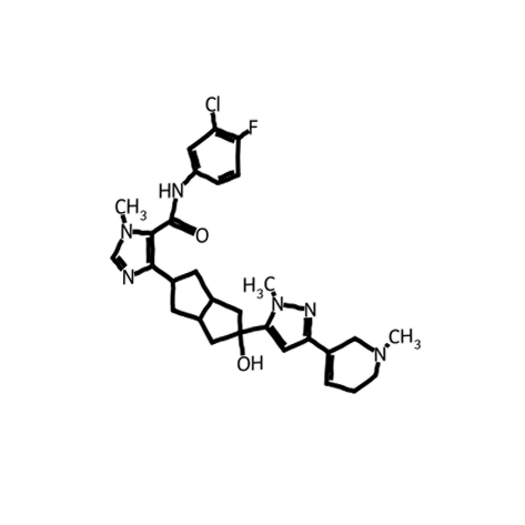 CN1CCC=C(c2cc(C3(O)CC4CC(c5ncn(C)c5C(=O)Nc5ccc(F)c(Cl)c5)CC4C3)n(C)n2)C1